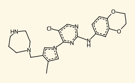 Cc1cn(-c2nc(Nc3ccc4c(c3)OCCO4)ncc2Cl)cc1CN1CCCNCC1